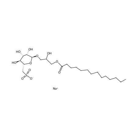 CCCCCCCCCCCCCC(=O)OCC(O)CO[C@H]1O[C@H](CS(=O)(=O)[O-])[C@@H](O)[C@H](O)[C@@H]1O.[Na+]